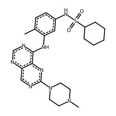 Cc1ccc(NS(=O)(=O)C2CCCCC2)cc1Nc1ncnc2cnc(N3CCN(C)CC3)nc12